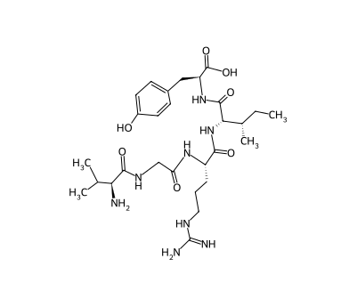 CC[C@H](C)[C@H](NC(=O)[C@H](CCCNC(=N)N)NC(=O)CNC(=O)[C@@H](N)C(C)C)C(=O)N[C@@H](Cc1ccc(O)cc1)C(=O)O